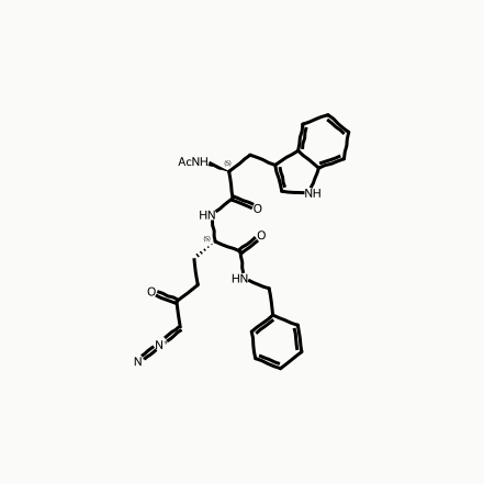 CC(=O)N[C@@H](Cc1c[nH]c2ccccc12)C(=O)N[C@@H](CCC(=O)C=[N+]=[N-])C(=O)NCc1ccccc1